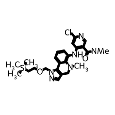 CNC(=O)c1cnc(Cl)cc1Nc1cccc2c1N(C)Cc1cnn(COCC[Si](C)(C)C)c1-2